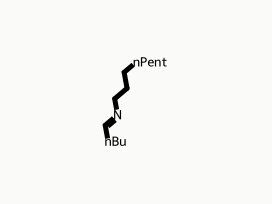 CCCCC=NCCCCCCCC